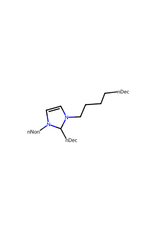 CCCCCCCCCCCCCCN1C=CN(CCCCCCCCC)C1CCCCCCCCCC